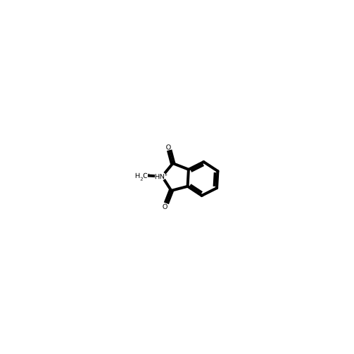 [CH2-][NH+]1C(=O)c2ccccc2C1=O